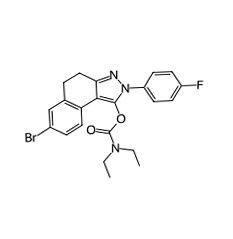 CCN(CC)C(=O)Oc1c2c(nn1-c1ccc(F)cc1)CCc1cc(Br)ccc1-2